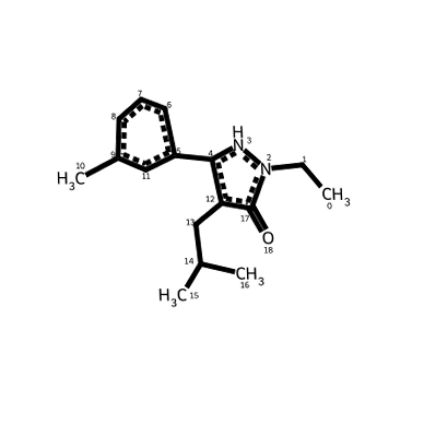 CCn1[nH]c(-c2cccc(C)c2)c(CC(C)C)c1=O